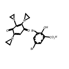 O=C(O)c1cc(Br)cc(Br)c1O.O=C1C=C(N2CC2)C(=O)C(N2CC2)=C1N1CC1